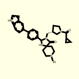 CC(C)N1CCC2(CC1)NC(c1ccc(-c3ccc4[nH]ccc4c3)cc1)N(C[C@@H]1CCN(C(=O)C3CC3)C1)C2=O